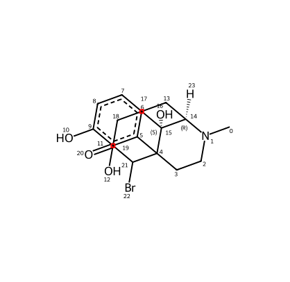 CN1CCC23c4c(ccc(O)c4O)C[C@@H]1[C@]2(O)CCC(=O)C3Br